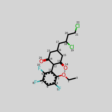 CCOc1c(F)cc(F)c(F)c1C1C(=O)CC(CC(Cl)CCCl)CC1=O